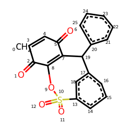 C.O=C1C=CC(=O)C2=C1OS(=O)(=O)c1cccc(c1)C2c1ccccc1